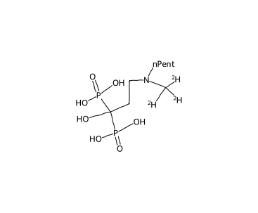 [2H]C([2H])([2H])N(CCCCC)CCC(O)(P(=O)(O)O)P(=O)(O)O